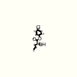 C=CCN(O)C(=O)Oc1ccc(Cl)cc1